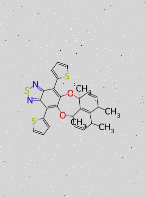 CC1C=CC2(C)Oc3c(c(-c4cccs4)c4nsnc4c3-c3cccs3)OC3(C)C=CC(C)C1=C23